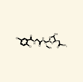 CC(C)C[C@H](NC(=O)CNC(=O)c1cc(Cl)ccc1Cl)B1OC(O)[C@@H](CC(N)=O)O1